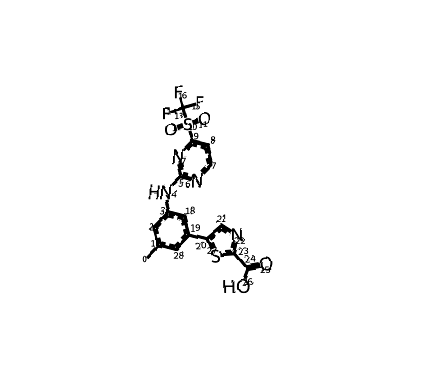 Cc1cc(Nc2nccc(S(=O)(=O)C(F)(F)F)n2)cc(-c2cnc(C(=O)O)s2)c1